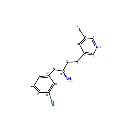 N[C@H](CCc1cncc(I)c1)Cc1cccc(Cl)c1